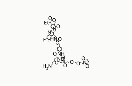 CCC1C(=O)OCc2c1cc1n(c2=O)Cc2c-1nc1cc(F)c(C)cc1c2CNC(=O)OCc1ccc(NC(=O)[C@H](CCCCN)NC(=O)[C@H](C)NC(=O)CCOCCOCCN2C(=O)C=CC2=O)cc1